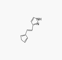 C1=CC(/C=C/c2cc[nH]n2)=CC1